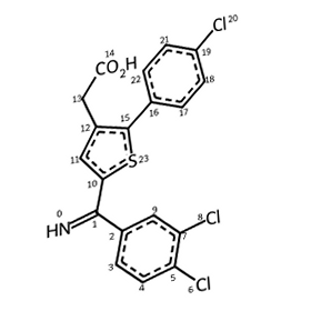 N=C(c1ccc(Cl)c(Cl)c1)c1cc(CC(=O)O)c(-c2ccc(Cl)cc2)s1